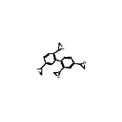 c1cc(C2CO2)c(-c2ccc(C3CO3)cc2C2CO2)cc1C1CO1